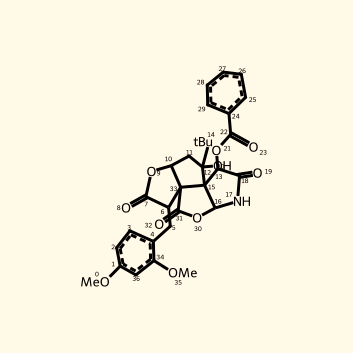 COc1ccc(CC2C(=O)OC3CC(O)(C(C)(C)C)C45C(NC(=O)C4OC(=O)c4ccccc4)OC(=O)C325)c(OC)c1